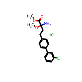 COC(=O)C(N)(CCc1ccc(-c2cccc(Cl)c2)cc1)OC.Cl